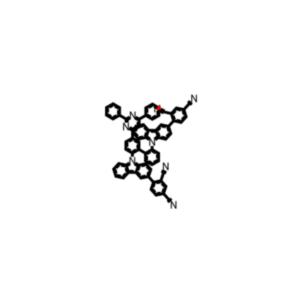 N#Cc1ccc(-c2ccc3c(c2)c2ccccc2n3-c2ccccc2-c2cc(-c3cc(-c4ccccc4)nc(-c4ccccc4)n3)ccc2-n2c3ccccc3c3cc(-c4ccc(C#N)cc4C#N)ccc32)c(C#N)c1